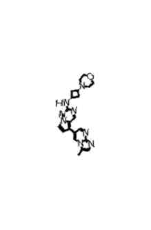 Cc1cnc2ncc(-c3ccn4nc(N[C@H]5C[C@@H](N6CCOCC6)C5)ncc34)cn12